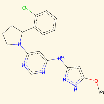 CC(C)Oc1cc(Nc2cc(N3CCCC3c3ccccc3Cl)ncn2)n[nH]1